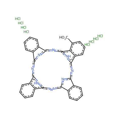 Cl.Cl.Cl.Cl.Cl.Cl.Cl.Cl.O=C(O)c1cccc2c3nc4nc(nc5[nH]c(nc6nc(nc([nH]3)c12)-c1ccccc1-6)c1ccccc51)-c1ccccc1-4